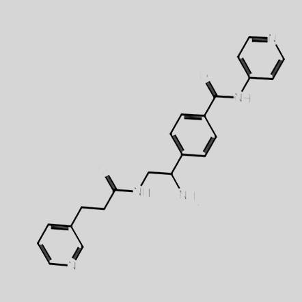 NC(CNC(=O)CCc1cccnc1)c1ccc(C(=O)Nc2ccncc2)cc1